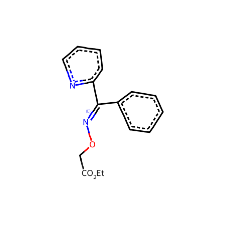 CCOC(=O)CO/N=C(\c1ccccc1)c1ccccn1